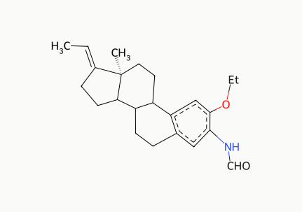 CC=C1CCC2C3CCc4cc(NC=O)c(OCC)cc4C3CC[C@]12C